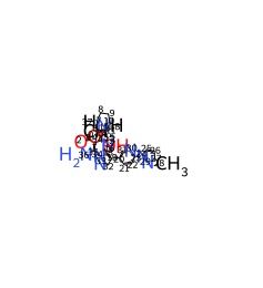 CC(=O)c1c([C@H]2C[C@H]3CC[C@@H](C2)N3C(=O)CO)nc2c(-c3ccc(-n4ccc(C)n4)nc3)cnn2c1N